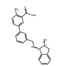 COC(=O)c1nc(-c2cccc(CN[C@@H]3c4ccccc4C[C@@H]3O)c2)cnc1N